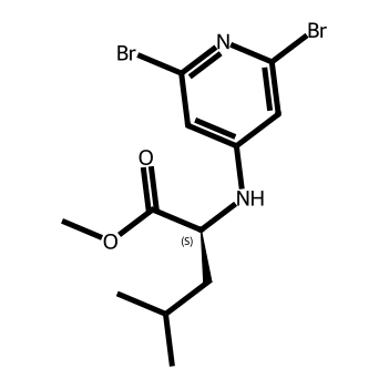 COC(=O)[C@H](CC(C)C)Nc1cc(Br)nc(Br)c1